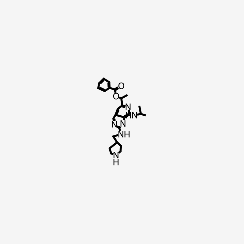 CC(C)Nc1nc(C(C)OC(=O)c2ccccc2)cc2cnc(NCC3CCNCC3)nc12